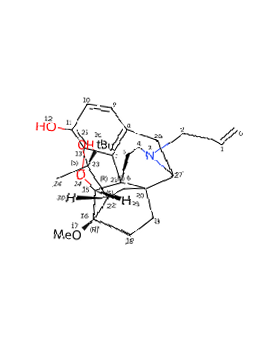 C=CCN1CC[C@]23c4c5ccc(O)c4O[C@H]2[C@@]2(OC)CCC3(C[C@H]2[C@](C)(O)C(C)(C)C)C1C5